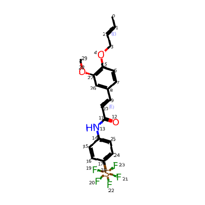 C/C=C/COc1ccc(/C=C/C(=O)Nc2ccc(S(F)(F)(F)(F)F)cc2)cc1OC